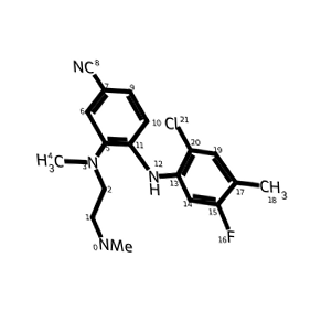 CNCCN(C)c1cc(C#N)ccc1Nc1cc(F)c(C)cc1Cl